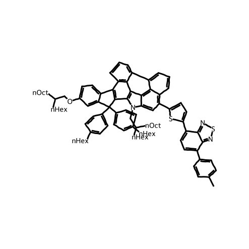 CCCCCCCCC(CCCCCC)COc1ccc2c(c1)C(c1ccc(CCCCCC)cc1)(c1ccc(CCCCCC)cc1)c1c-2c2cccc3c4cccc5c(-c6ccc(-c7ccc(-c8ccc(C)cc8)c8nsnc78)s6)cc6c(c54)c(c23)c1n6CC(CCCCCC)CCCCCCCC